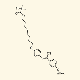 CCCCCCOc1ccc(/C(C#N)=C/c2ccc(OCCCCCCCCOC(=O)C(C)(C)CC)cc2)cc1